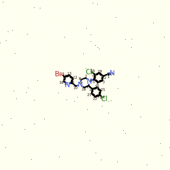 N#Cc1ccc(N2CCN(Cc3ccc(Br)cn3)CC2c2ccc(Cl)cc2)c(Cl)c1